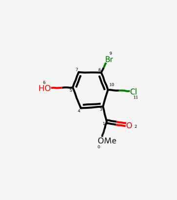 COC(=O)c1cc(O)cc(Br)c1Cl